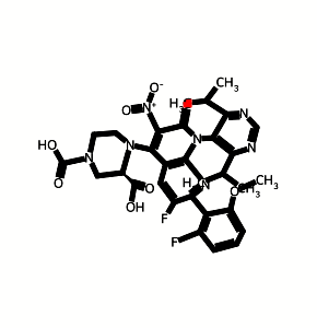 COc1cccc(F)c1-c1nc2c(cc1F)c(N1CCN(C(=O)O)C[C@@H]1C(=O)O)c([N+](=O)[O-])c(=O)n2-c1c(C(C)C)ncnc1C(C)C